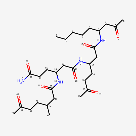 CCCCCC(CC(C)=O)NC(=O)CC(CCC(C)=O)NC(=O)CC(CCC(N)=O)NC(=O)CC(C)CCC(C)=O